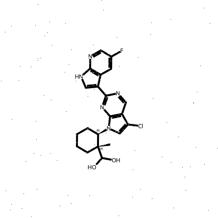 C[C@@]1(C(O)O)CCCC[C@H]1n1cc(Cl)c2cnc(-c3c[nH]c4ncc(F)cc34)nc21